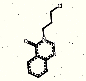 O=c1c2ccccc2nnn1CCCCl